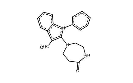 O=Cc1c(N2CCNC(=O)CC2)n(-c2ccccc2)c2ccccc12